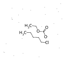 CCCCCCl.CCOC([O])=O